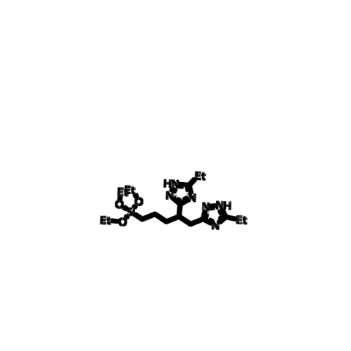 CCO[Si](CCCC(Cc1n[nH]c(CC)n1)c1n[nH]c(CC)n1)(OCC)OCC